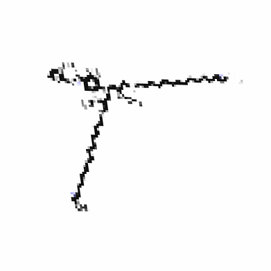 C/C=C/CCCCCCCCCCCCOCC(CN(CC(COCCCCCCCCCCCC/C=C/C)OC)c1ccc(/N=N/c2scc[n+]2C)c(C)c1)OC